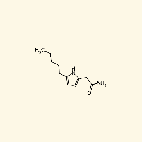 CCCCCc1ccc(CC(N)=O)[nH]1